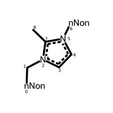 CCCCCCCCCC[n+]1ccn(CCCCCCCCC)c1C